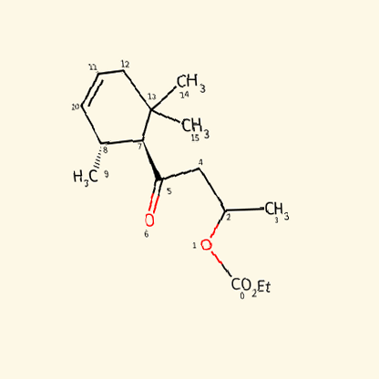 CCOC(=O)OC(C)CC(=O)[C@H]1[C@H](C)C=CCC1(C)C